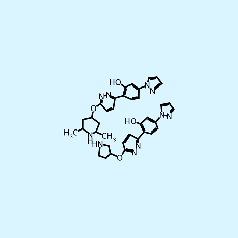 CC1CC(Oc2ccc(-c3ccc(-n4cccn4)cc3O)nn2)CC(C)N1.Oc1cc(-n2cccn2)ccc1-c1ccc(OC2CCNC2)nn1